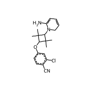 CC1(C)C(Oc2ccc(C#N)c(Cl)c2)C(C)(C)C1N1CC=CC=C1N